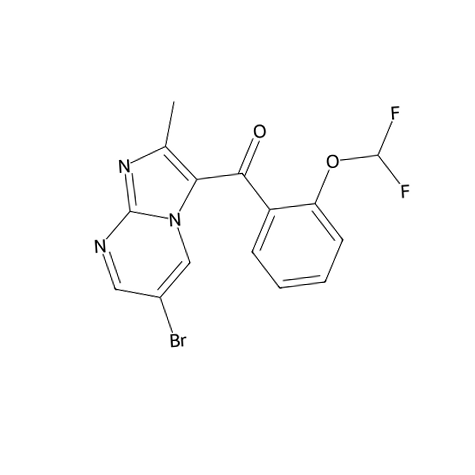 Cc1nc2ncc(Br)cn2c1C(=O)c1ccccc1OC(F)F